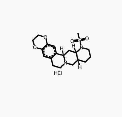 CS(=O)(=O)N1CCC[C@@H]2CN3CCc4cc5c(cc4[C@@H]3C[C@@H]21)OCCO5.Cl